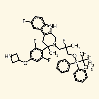 CC(F)(CO[Si](c1ccccc1)(c1ccccc1)C(C)(C)C)CN1Cc2[nH]c3ccc(F)cc3c2CC1(C)c1c(F)cc(OC2CNC2)cc1F